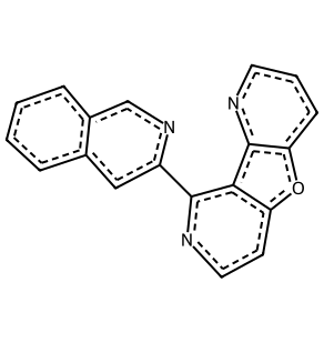 c1ccc2cc(-c3nccc4oc5cccnc5c34)ncc2c1